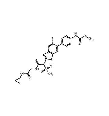 COC(=O)Nc1ccc(-c2cc3sc(C(C(=O)NCC(=O)NC4CC4)S(C)(=O)=O)nc3cc2F)cc1